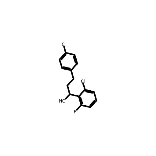 N#CC(CCc1ccc(Cl)cc1)c1c(F)cccc1Cl